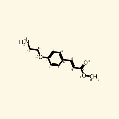 COC(=O)/C=C/c1ccc(OCCN)cc1